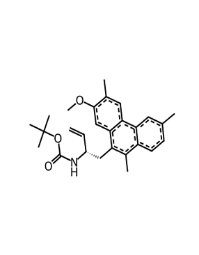 C=C[C@H](Cc1c(C)c2ccc(C)cc2c2cc(C)c(OC)cc12)NC(=O)OC(C)(C)C